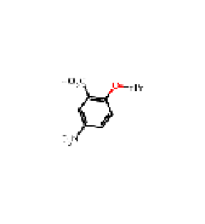 CCCOc1ccc([N+](=O)[O-])cc1C(=O)O